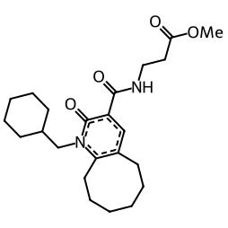 COC(=O)CCNC(=O)c1cc2c(n(CC3CCCCC3)c1=O)CCCCCC2